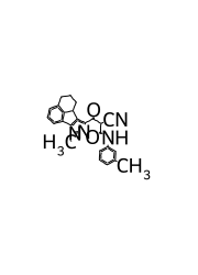 Cc1cccc(NC(=O)C(C#N)C(=O)c2nn(C)c3c2C2CCCc4cccc-3c42)c1